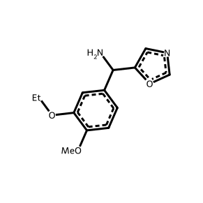 CCOc1cc(C(N)c2cnco2)ccc1OC